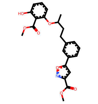 COC(=O)c1cc(-c2cccc(CCC(C)Oc3cccc(O)c3C(=O)OC)c2)on1